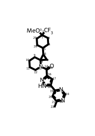 COC1(C(F)(F)F)CCC(C2CC23CCCCN3C(=O)c2cc(-c3cc(C)ncn3)[nH]n2)CC1